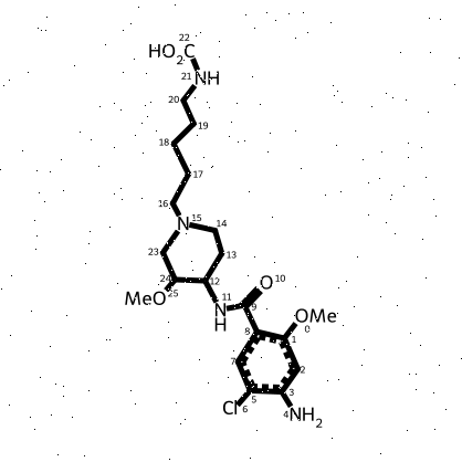 COc1cc(N)c(Cl)cc1C(=O)NC1CCN(CCCCCNC(=O)O)CC1OC